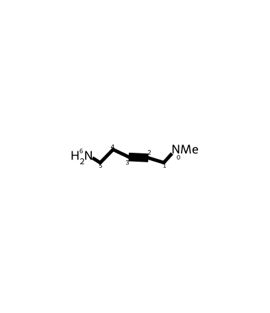 CNCC#CCCN